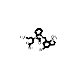 CCCC(CC(=O)O)n1c(=O)n(Cc2cc(Br)cc3c2N(C)CC3)c2ccccc21